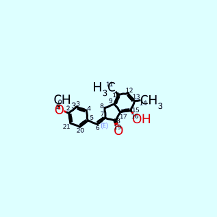 COc1ccc(/C=C2\Cc3c(C)cc(C)c(O)c3C2=O)cc1